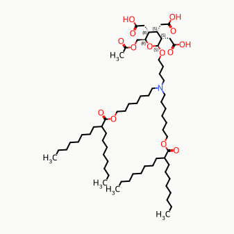 CCCCCCCCC(CCCCCCCC)C(=O)OCCCCCCCN(CCCCCCCOC(=O)C(CCCCCCCC)CCCCCCCC)CCCCO[C@H]1O[C@@H](COC(C)=O)[C@H](CC(=O)O)[C@H](CC(=O)O)[C@@H]1CC(=O)O